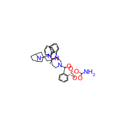 Cc1nc2ccccc2n1C1CC2CCC(C1)N2CCC1(c2ccccc2)CCN(C(=O)c2ccccc2S(=O)(=O)OC(N)=O)CC1